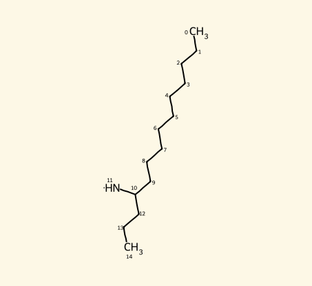 CCCCCCCCCCC([NH])CCC